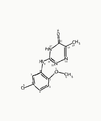 COc1ccc(Cl)cc1Nc1nnc(C)c(=O)[nH]1